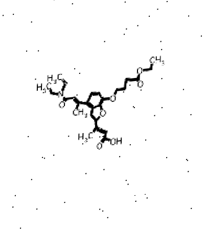 CCOC(=O)CCCOc1ccc(/C(C)=C/C(=O)N(CC)CC)c2c1OC(/C(C)=C/C(=O)O)C2